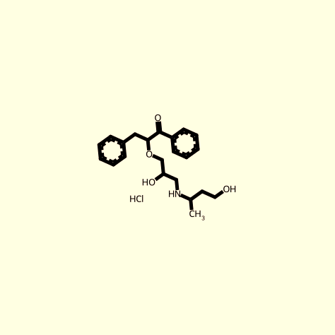 CC(CCO)NCC(O)COC(Cc1ccccc1)C(=O)c1ccccc1.Cl